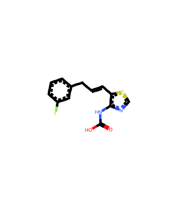 O=C(O)Nc1ncsc1C=CCc1cccc(F)c1